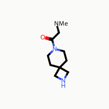 CNCC(=O)N1CCC2(CC1)CNC2